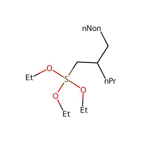 CCCCCCCCCCC(CCC)CS(OCC)(OCC)OCC